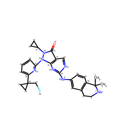 CC1(C)NCCc2cc(Nc3ncc4c(=O)n(C5CC5)n(-c5cccc(C6(CF)CC6)n5)c4n3)ccc21